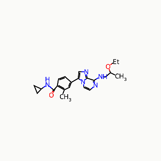 CCOC(C)CNc1nccn2c(-c3ccc(C(=O)NC4CC4)c(C)c3)cnc12